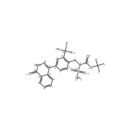 CC(C)(C)OC(=O)N(Cc1ccc(-c2n[nH]c(=O)c3ccccc23)cc1C(F)(F)F)S(N)(=O)=O